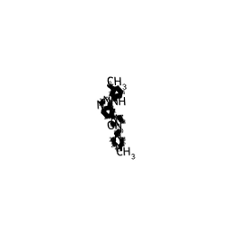 CCc1cccc(Nc2ncnc3ccc(-n4ccn(CCN5CCN(C)CC5)c4=O)cc23)c1